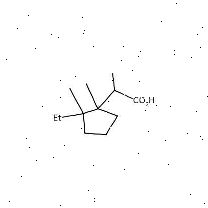 CCC1(C)CCCC1(C)C(C)C(=O)O